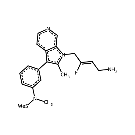 CSN(C)c1cccc(-c2c(C)n(C/C(F)=C/CN)c3cnccc23)c1